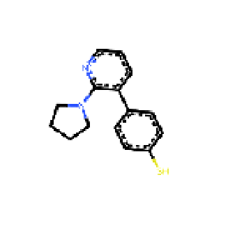 Sc1ccc(-c2cccnc2N2CCCC2)cc1